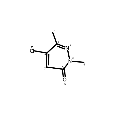 Cc1nn(C)c(=O)cc1Cl